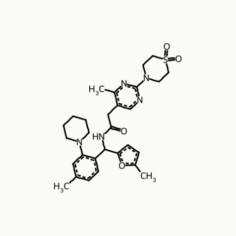 Cc1ccc(C(NC(=O)Cc2cnc(N3CCS(=O)(=O)CC3)nc2C)c2ccc(C)o2)c(N2CCCCC2)c1